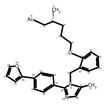 CC(=O)C[C@H](C)CCCOc1ccccc1Cn1c(C)cnc1-c1ccc(-c2ccco2)cc1